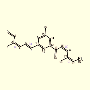 C=C/C(C)=C\C=C\c1cc(C)cc(C(=C)/C=C\C(C)=C/CC)n1